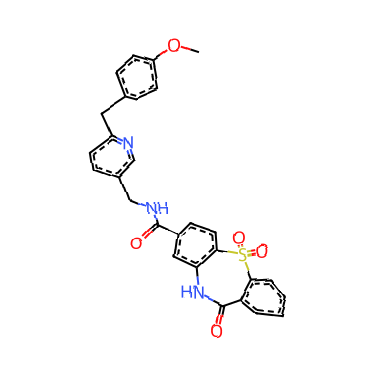 COc1ccc(Cc2ccc(CNC(=O)c3ccc4c(c3)NC(=O)c3ccccc3S4(=O)=O)cn2)cc1